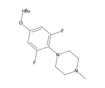 CCCCOc1cc(F)c(N2CCN(C)CC2)c(F)c1